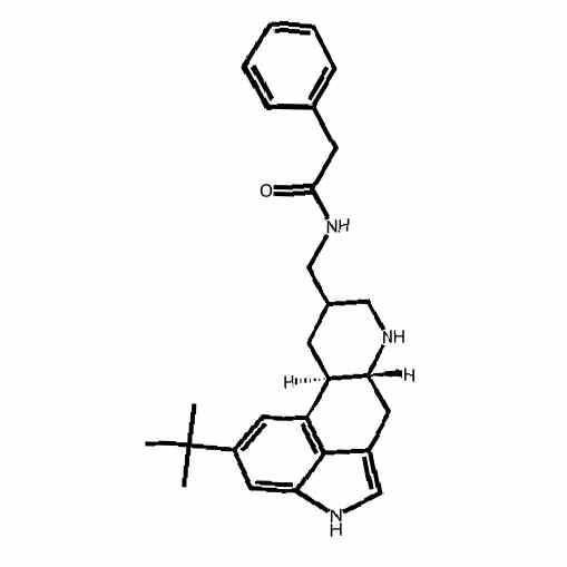 CC(C)(C)c1cc2c3c(c[nH]c3c1)C[C@H]1NCC(CNC(=O)Cc3ccccc3)C[C@H]21